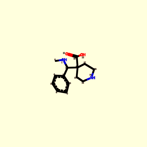 CNC(c1ccccc1)C1(C(=O)O)CCNCC1